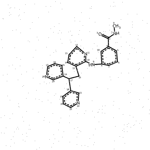 CNC(=O)c1cccc(Nc2ncccc2CC(c2cccnc2)c2cccnc2)c1